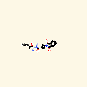 CO[C@H](C)C(=O)NNC(=O)[C@H]1C[C@H](N2C(=O)c3ccccc3C2=O)C1